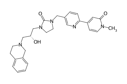 Cn1ccc(-c2ccc(CN3CCN(C[C@H](O)CN4CCc5ccccc5C4)C3=O)cn2)cc1=O